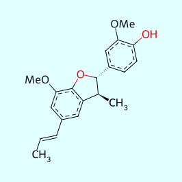 C/C=C/c1cc(OC)c2c(c1)[C@H](C)[C@@H](c1ccc(O)c(OC)c1)O2